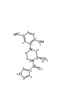 C[CH]Cc1ccc(O)c(N2CCN(C(=O)c3ccoc3)[C@H](C)C2)c1